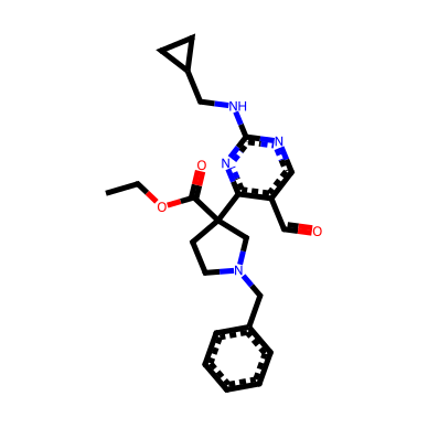 CCOC(=O)C1(c2nc(NCC3CC3)ncc2C=O)CCN(Cc2ccccc2)C1